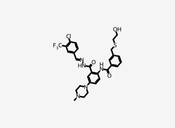 CN1CCN(c2ccc(NC(=O)c3cccc(CSCCO)c3)c(C(=O)N/N=C/c3ccc(Cl)c(C(F)(F)F)c3)c2)CC1